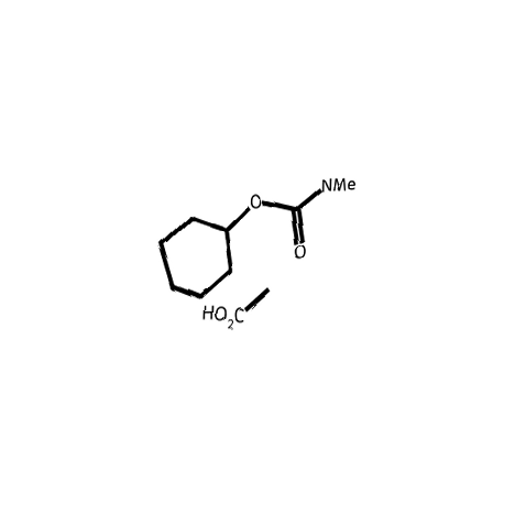 CC(=O)O.CNC(=O)OC1CCCCC1